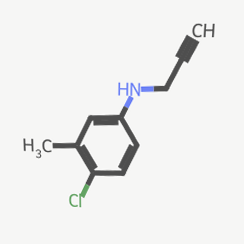 C#CCNc1ccc(Cl)c(C)c1